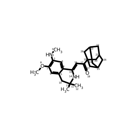 CNc1cc2c(cc1OC)CC(C)(C)NC2=CC(=O)C12CC3CC(CC(C3)C1)C2